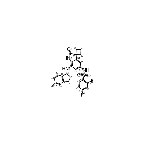 O=C1Nc2c(NC3CCc4cc(F)ccc43)cc(NS(=O)(=O)c3ccc(F)cc3F)cc2C12CCC2